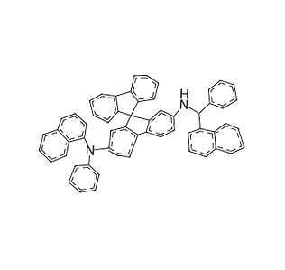 c1ccc(C(Nc2ccc3c(c2)C2(c4ccccc4-c4ccccc42)c2cc(N(c4ccccc4)c4cccc5ccccc45)ccc2-3)c2cccc3ccccc23)cc1